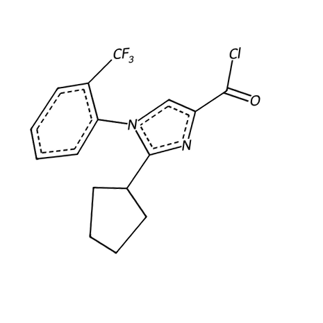 O=C(Cl)c1cn(-c2ccccc2C(F)(F)F)c(C2CCCC2)n1